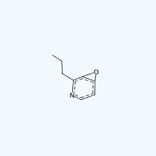 CCCc1nccc2c1O2